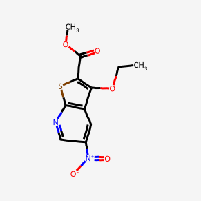 CCOc1c(C(=O)OC)sc2ncc([N+](=O)[O-])cc12